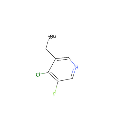 CC(C)(C)Cc1cncc(F)c1Cl